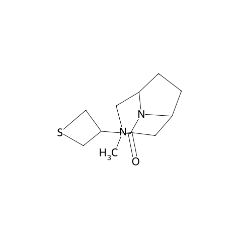 CN1CC2CCC(C1)N2C(=O)C1CSC1